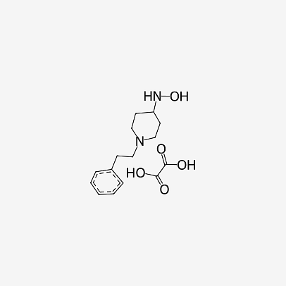 O=C(O)C(=O)O.ONC1CCN(CCc2ccccc2)CC1